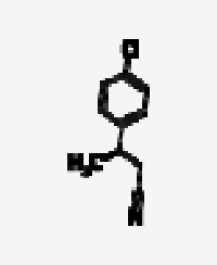 C[C@H](CC#N)c1ccc(Cl)cc1